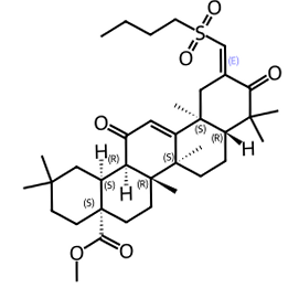 CCCCS(=O)(=O)/C=C1\C[C@]2(C)C3=CC(=O)[C@@H]4[C@@H]5CC(C)(C)CC[C@]5(C(=O)OC)CC[C@@]4(C)[C@]3(C)CC[C@H]2C(C)(C)C1=O